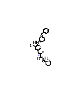 O=C(NOC1CCCCO1)/C(F)=C/c1cnc(N[C@@H]2CCCN(Cc3ccccc3)C2)c(Cl)c1